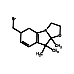 CC1(C)C2=C(CC(CBr)C=C2)N2CCOC21C